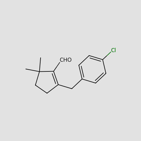 CC1(C)CCC(Cc2ccc(Cl)cc2)=C1C=O